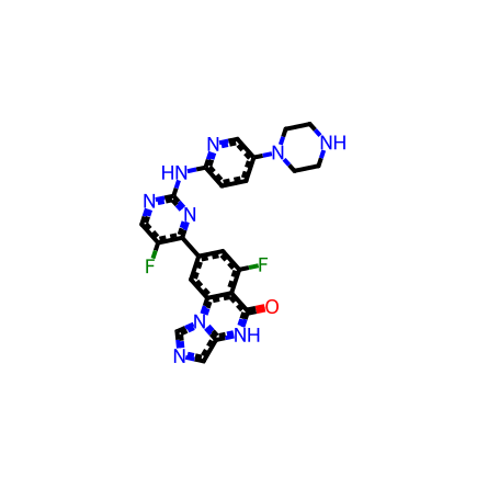 O=c1[nH]c2cncn2c2cc(-c3nc(Nc4ccc(N5CCNCC5)cn4)ncc3F)cc(F)c12